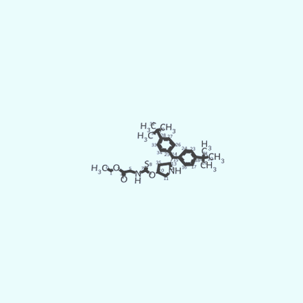 CCOC(=O)CNC(=S)O[C@H]1CN[C@@H](C(c2ccc(C(C)(C)C)cc2)c2ccc(C(C)(C)C)cc2)C1